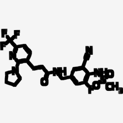 CS(=O)(=O)Nc1c(F)cc(CNC(=O)/C=C/c2ccc(C(F)(F)F)nc2N2CCCC2)cc1C#N